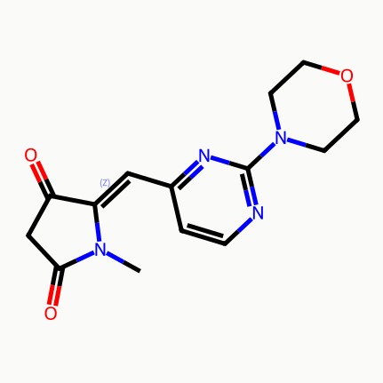 CN1C(=O)CC(=O)/C1=C/c1ccnc(N2CCOCC2)n1